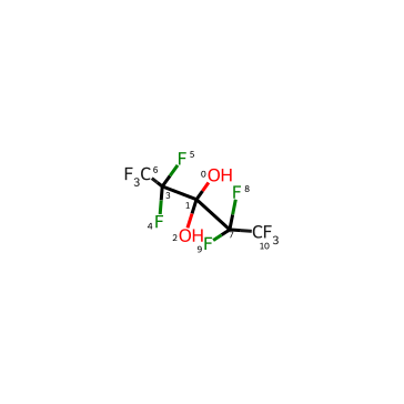 OC(O)(C(F)(F)C(F)(F)F)C(F)(F)C(F)(F)F